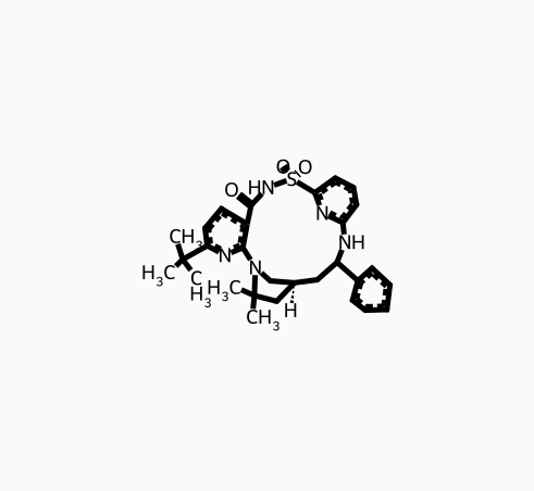 CC(C)(C)c1ccc2c(n1)N1C[C@@H](CC(c3ccccc3)Nc3cccc(n3)S(=O)(=O)NC2=O)CC1(C)C